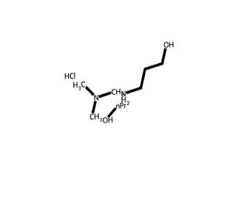 CN(C)C.Cl.NCCCO.[CH2]CCO